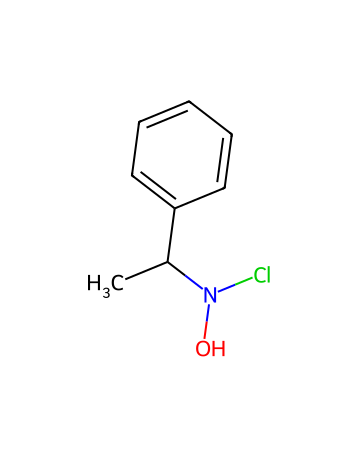 CC(c1ccccc1)N(O)Cl